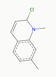 Cc1ccc2c(c1)N(C)C(Cl)C=C2